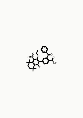 CCOc1c(-c2ccc(C(=O)O)c(C(=O)c3ccccc3)c2)c(F)c2c(c1[N+](=O)[O-])C(C)(C)CCC2(C)C